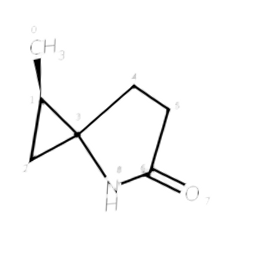 C[C@@H]1CC12CCC(=O)N2